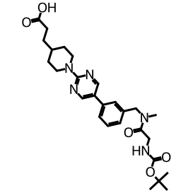 CN(Cc1cccc(-c2cnc(N3CCC(CCC(=O)O)CC3)nc2)c1)C(=O)CNC(=O)OC(C)(C)C